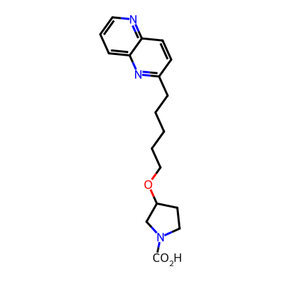 O=C(O)N1CCC(OCCCCCc2ccc3ncccc3n2)C1